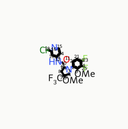 COc1c(N2C[C@@](OC)(C(F)(F)F)C[C@H]2C(=O)Nc2ccnc(Cl)c2)ccc(F)c1F